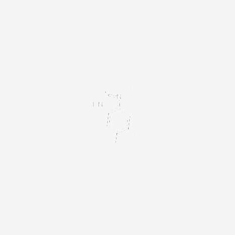 [O-][n+]1n[nH]c2cc(Cl)c(Cl)cc21